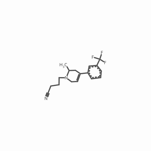 CC1CC(c2cccc(C(F)(F)F)c2)=CCN1CCCC#N